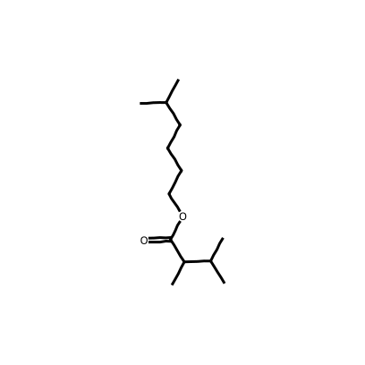 CC(C)CCCCOC(=O)C(C)C(C)C